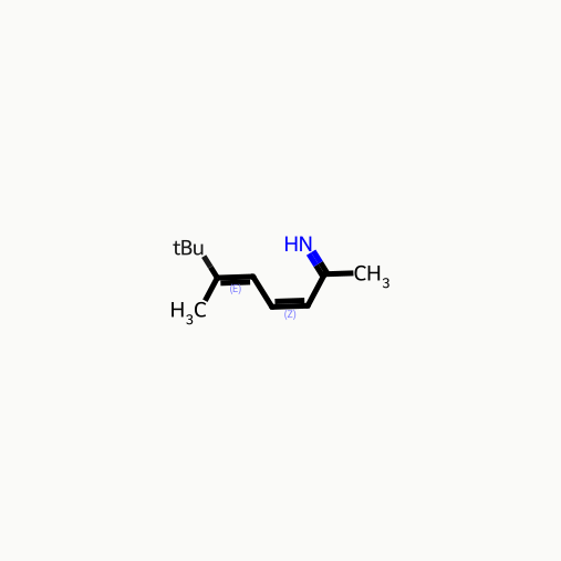 CC(=N)/C=C\C=C(/C)C(C)(C)C